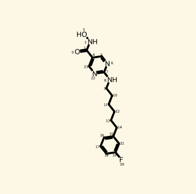 O=C(NO)c1cnc(NCCCCCCc2cccc(F)c2)nc1